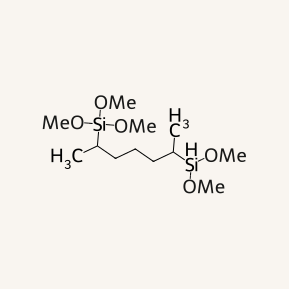 CO[SiH](OC)C(C)CCCC(C)[Si](OC)(OC)OC